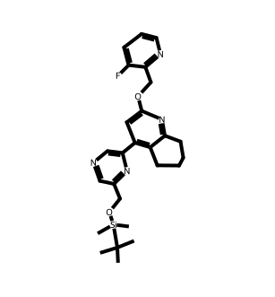 CC(C)(C)[Si](C)(C)OCc1cncc(-c2cc(OCc3ncccc3F)nc3c2CCCC3)n1